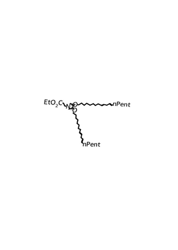 CCCCCC=CCC=CCCCCCCCCO[C@@H]1CN(CCC(=O)OCC)C[C@H]1OCCCCCCCCC=CCC=CCCCCC